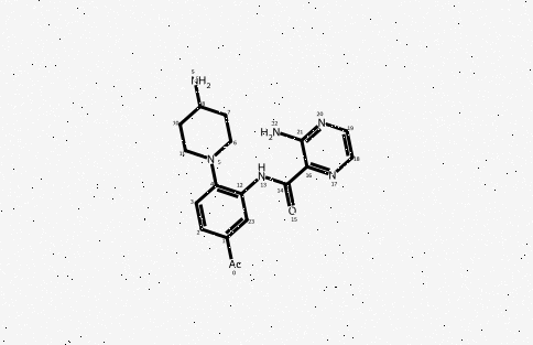 CC(=O)c1ccc(N2CCC(N)CC2)c(NC(=O)c2nccnc2N)c1